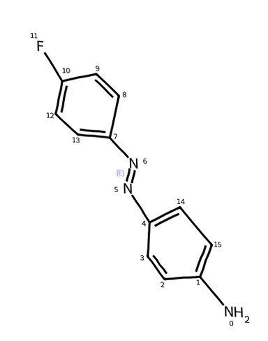 Nc1ccc(/N=N/c2ccc(F)cc2)cc1